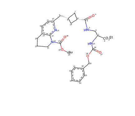 CCOC(=O)C(CNC(=O)[C@H]1C[C@@H](Cc2ccc3c(n2)N(C(=O)OC(C)(C)C)CCC3)C1)NC(=O)OCc1ccccc1